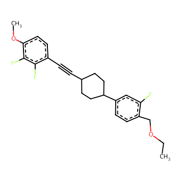 CCOCc1ccc(C2CCC(C#Cc3ccc(OC)c(F)c3F)CC2)cc1F